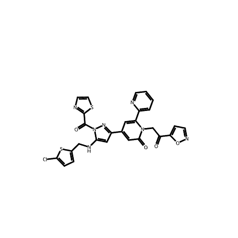 O=C(Cn1c(-c2ccccn2)cc(-c2cc(NCc3ccc(Cl)s3)n(C(=O)c3nccs3)n2)cc1=O)c1ccno1